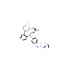 CC1(C)CC(c2ccc(C(F)(F)F)cc2C2CCNCC2)c2ccc(S(=O)(=O)Nc3nccs3)cc2O1.Cl